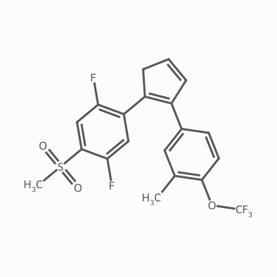 Cc1cc(C2=C(c3cc(F)c(S(C)(=O)=O)cc3F)CC=C2)ccc1OC(F)(F)F